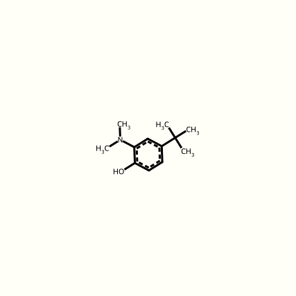 CN(C)c1cc(C(C)(C)C)ccc1O